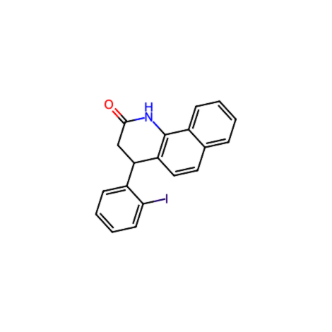 O=C1CC(c2ccccc2I)c2ccc3ccccc3c2N1